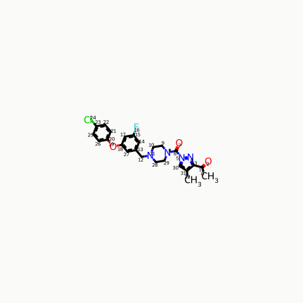 CC(=O)c1nn(C(=O)N2CCN(Cc3cc(F)cc(Oc4ccc(Cl)cc4)c3)CC2)cc1C